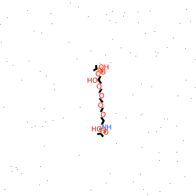 CC(C)P(=O)(O)NCCCOCCOCCOCCOCC(O)COP(=O)(O)C(C)C